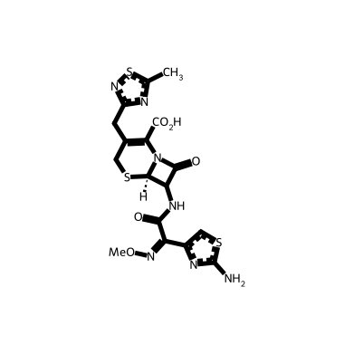 CO/N=C(\C(=O)NC1C(=O)N2C(C(=O)O)=C(Cc3nsc(C)n3)CS[C@H]12)c1csc(N)n1